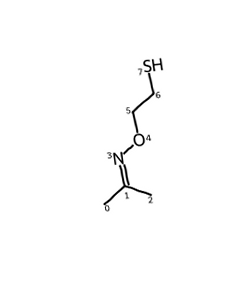 CC(C)=NOCCS